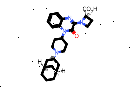 O=C(O)[C@@H]1CCN1c1nc2ccccc2n(C2CCN([C@H]3C[C@@H]4CCC[C@@H](C4)C3)CC2)c1=O